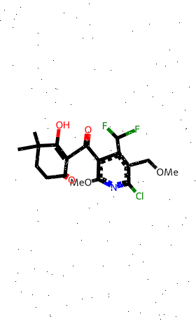 COCc1c(Cl)nc(OC)c(C(=O)C2=C(O)C(C)(C)CCC2=O)c1C(F)F